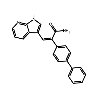 NC(=O)C(=Cc1c[nH]c2ncccc12)c1ccc(-c2ccccc2)cc1